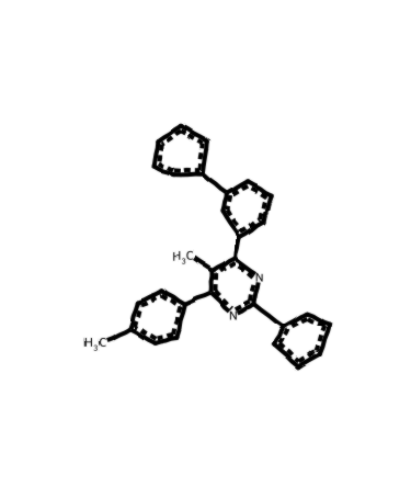 Cc1ccc(-c2nc(-c3ccccc3)nc(-c3cccc(-c4ccccc4)c3)c2C)cc1